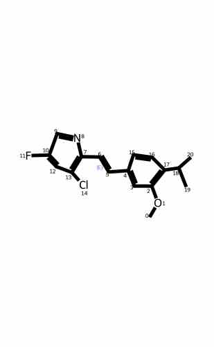 COc1cc(/C=C/c2ncc(F)cc2Cl)ccc1C(C)C